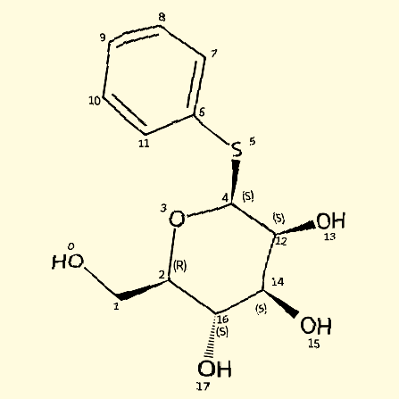 OC[C@H]1O[C@@H](Sc2ccccc2)[C@@H](O)[C@@H](O)[C@@H]1O